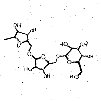 CC1OC(COC2OC(COC3OC(CO)C(O)C(O)C3O)C(O)C2O)C(O)C1O